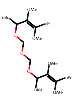 CCCCC(OCOCOC(CCCC)C(OC)=C(CCC)OC)C(OC)=C(CCC)OC